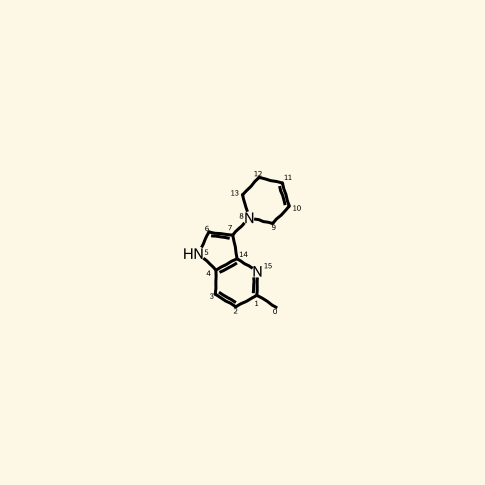 Cc1ccc2[nH]cc(N3CC=CCC3)c2n1